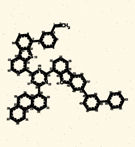 C=Cc1cccc(-c2cccc3c2sc2c(-c4nc(-c5cccc6c5ccc5ccccc56)nc(-c5cccc6c5oc5cc(-c7cccc(-c8ccccc8)c7)ccc56)n4)cccc23)c1